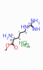 COC(=O)[C@H](N)CCCNC(=N)N.Cl.Cl